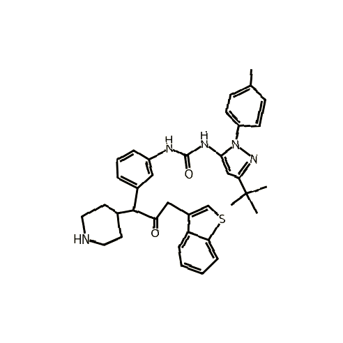 Cc1ccc(-n2nc(C(C)(C)C)cc2NC(=O)Nc2cccc(C(C(=O)Cc3csc4ccccc34)C3CCNCC3)c2)cc1